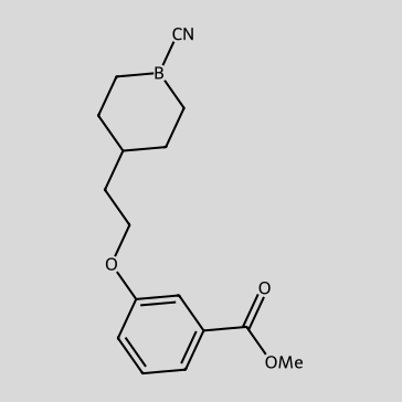 COC(=O)c1cccc(OCCC2CCB(C#N)CC2)c1